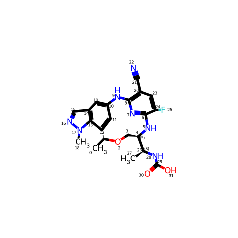 CCOC[C@@H](Nc1nc(Nc2ccc3c(cnn3C)c2)c(C#N)cc1F)[C@H](C)NC(=O)O